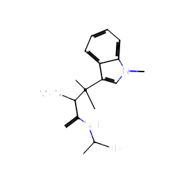 C=C(NC(C)C(C)(C)C)C(NC)C(C)(C)c1cn(C)c2ccccc12